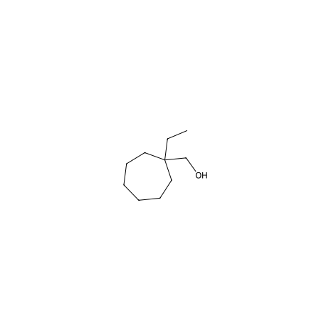 CCC1(CO)CCCCCC1